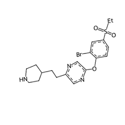 CCS(=O)(=O)c1ccc(Oc2cnc(CCC3CCNCC3)cn2)c(Br)c1